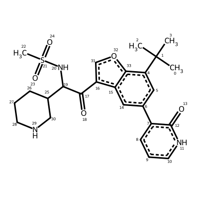 CC(C)(C)c1cc(-c2ccc[nH]c2=O)cc2c(C(=O)C(NS(C)(=O)=O)C3CCCNC3)coc12